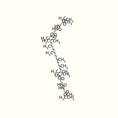 CC1=C(/C=C/C(C)=C/C=C/C(C)=C/C=C/C=C(C)/C=C/C=C(C)/C=C/C2=C(C)C(=O)[C@@H](OC(=O)CCNC(=O)NCCC(=O)OC(C)(C)C)CC2(C)C)C(C)(C)C[C@H](OC(=O)CCNC(=O)NCCC(=O)OC(C)(C)C)C1=O